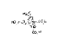 O=C(O)CCC(=O)OCCC(CCOC(=O)CCC(=O)O)(CCOC(=O)CCC(=O)O)CCOC(=O)CCC(=O)O